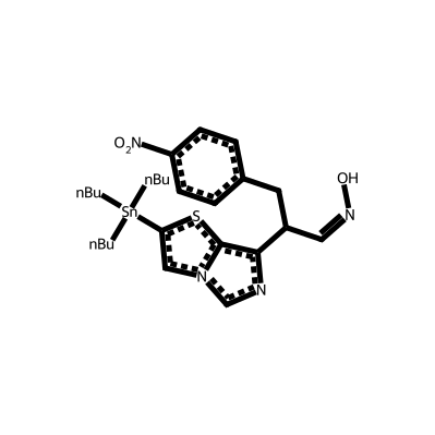 CCC[CH2][Sn]([CH2]CCC)([CH2]CCC)[c]1cn2cnc(C(/C=N\O)Cc3ccc([N+](=O)[O-])cc3)c2s1